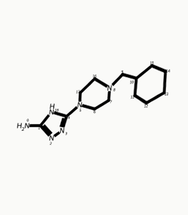 Nc1nnc(N2CCN(CC3CCCCC3)CC2)[nH]1